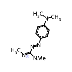 C/N=C(\N=Nc1ccc(N(C)C)cc1)NC